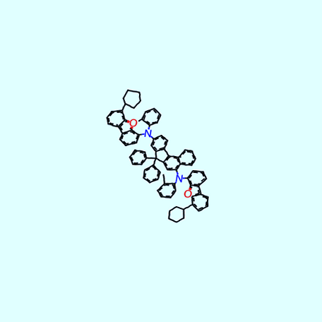 Cc1ccccc1N(c1ccc2c(c1)C(c1ccccc1)(c1ccccc1)c1cc(N(c3ccccc3C)c3cccc4c3oc3c(C5CCCCC5)cccc34)c3ccccc3c1-2)c1cccc2c1oc1c(C3CCCCC3)cccc12